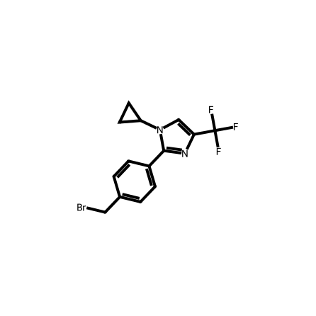 FC(F)(F)c1cn(C2CC2)c(-c2ccc(CBr)cc2)n1